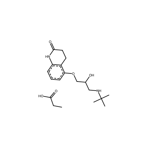 CC(C)(C)NCC(O)COc1cccc2c1CCC(=O)N2.CCC(=O)O